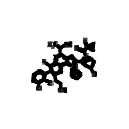 CC(O)c1nc2c(F)c(-c3cccc(Cl)c3Cl)c(CCC#N)cc2c2c1cc(C1C3CC(CC3Cl)N1C(=O)C1(F)CC1)n2C1C2CNC1C2